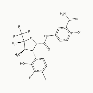 C[C@@H]1[C@@H](c2ccc(F)c(F)c2O)[C@@H](C(=O)Nc2cc[n+]([O-])c(C(N)=O)c2)O[C@@]1(C)C(F)(F)F